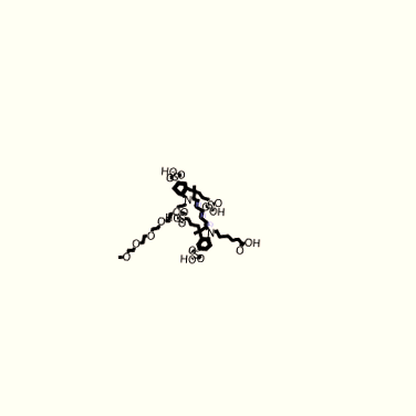 COCCOCCOCCOCCOCC[N+]1=C(/C=C/C=C/C=C2/N(CCCCCC(=O)O)c3ccc(S(=O)(=O)O)cc3C2(C)CCCS(=O)(=O)O)C(C)(CCCS(=O)(=O)O)c2cc(S(=O)(=O)O)ccc21